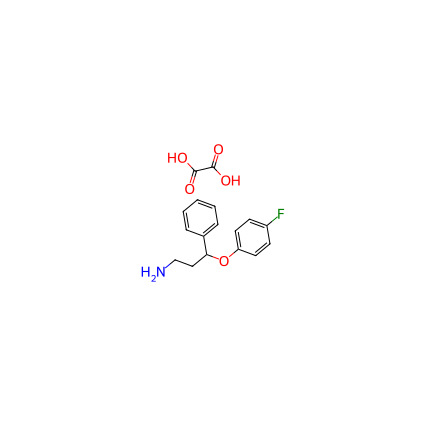 NCCC(Oc1ccc(F)cc1)c1ccccc1.O=C(O)C(=O)O